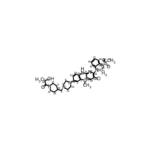 COc1cc(N2CCN(CC3CCN(C(=O)[C@H](C)O)CC3)CC2)ccc1Nc1ncc(Cl)c(Nc2ccccc2N(C)S(C)(=O)=O)n1